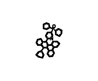 O=P(c1ccccc1)(c1ccccc1)c1ccc(-c2c3ccccc3c(-c3ccccc3)c3c4ccccc4c4ccccc4c23)nc1